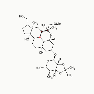 COCO[C@@H]1C[C@]2(C)[C@@H](CO)CC[C@]2(O)C2CC[C@]3(O)C[C@@H](O[C@@H]4O[C@@H](C)[C@H](C)[C@H]5OC(C)(C)O[C@@H]45)C[C@H]4OC(C)(C)OC[C@]43C21